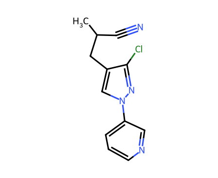 CC(C#N)Cc1cn(-c2cccnc2)nc1Cl